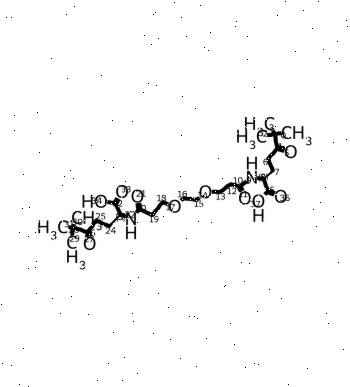 CC(C)(C)C(=O)CC[C@H](NC(=O)CCOCCOCCC(=O)N[C@@H](CCC(=O)C(C)(C)C)C(=O)O)C(=O)O